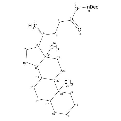 CCCCCCCCCCOC(=O)CC[C@@H](C)C1CCC2C3CCC4CCCCC4(C)C3CCC21C